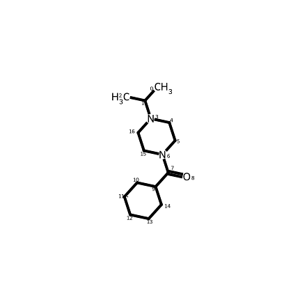 CC(C)N1CCN(C(=O)C2C[CH]CCC2)CC1